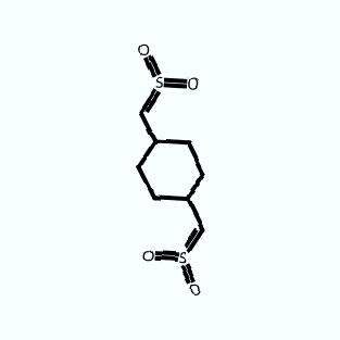 O=S(=O)=CC1CCC(C=S(=O)=O)CC1